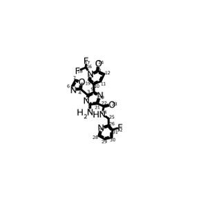 Nc1nc(-c2ncco2)c(-c2ccc(=O)n(C(F)F)c2)nc1C(=O)NCc1ncccc1F